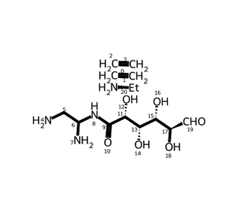 C=C.C=C.NCC(N)NC(=O)[C@H](O)[C@@H](O)[C@H](O)[C@H](O)C=O.[CH2]CN